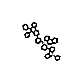 c1ccc(-c2c(-c3ccccc3)c3cc(-c4cccc(N(c5cccc(-c6cccc7c6c6ccccc6n7-c6ccccc6)c5)c5cccc6c5ccc5ccccc56)c4)ccc3c3ccccc23)cc1